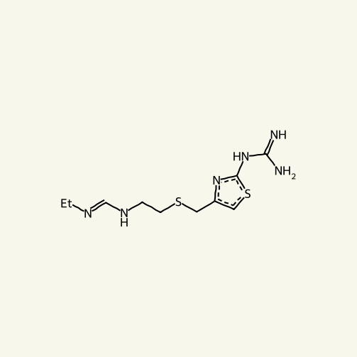 CCN=CNCCSCc1csc(NC(=N)N)n1